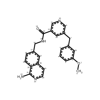 COc1cccc(Cc2cncc(C(=O)NCc3ccc4c(N)nccc4c3)c2)c1